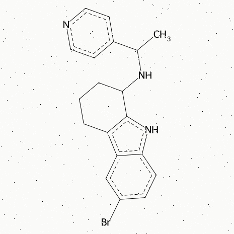 CC(NC1CCCc2c1[nH]c1ccc(Br)cc21)c1ccncc1